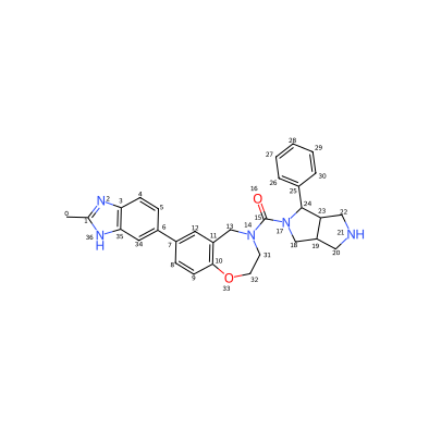 Cc1nc2ccc(-c3ccc4c(c3)CN(C(=O)N3CC5CNCC5C3c3ccccc3)CCO4)cc2[nH]1